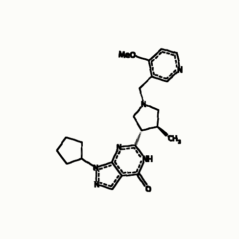 COc1ccncc1CN1C[C@@H](C)[C@H](c2nc3c(cnn3C3CCCC3)c(=O)[nH]2)C1